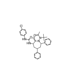 CC(=O)N(N1C(=O)C(NC(=O)Nc2ccc(Cl)cc2)CC(c2ccccc2)CC1c1ccccc1)C(C)(C)C